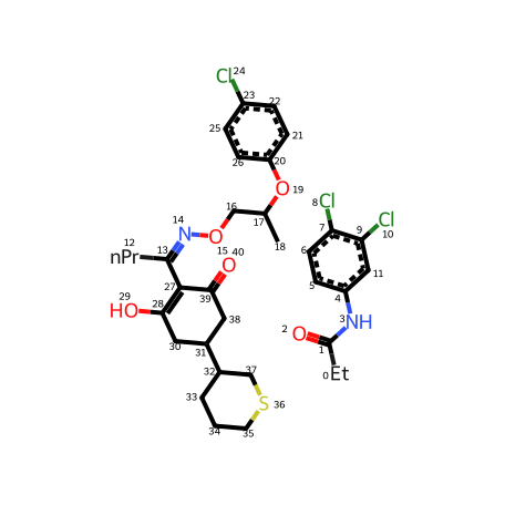 CCC(=O)Nc1ccc(Cl)c(Cl)c1.CCCC(=NOCC(C)Oc1ccc(Cl)cc1)C1=C(O)CC(C2CCCSC2)CC1=O